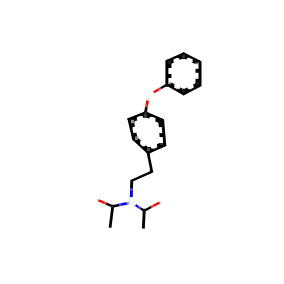 CC(O)N(CCc1ccc(Oc2ccccc2)cc1)C(C)O